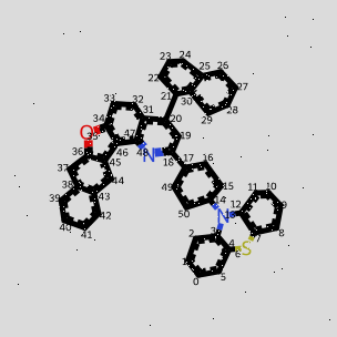 c1ccc2c(c1)Sc1ccccc1N2c1ccc(-c2cc(-c3cccc4ccccc34)c3ccc4oc5cc6ccccc6cc5c4c3n2)cc1